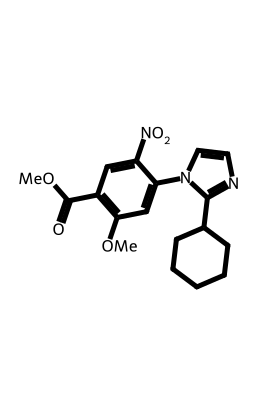 COC(=O)c1cc([N+](=O)[O-])c(-n2ccnc2C2CCCCC2)cc1OC